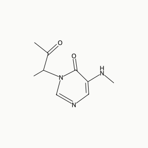 CNc1cncn(C(C)C(C)=O)c1=O